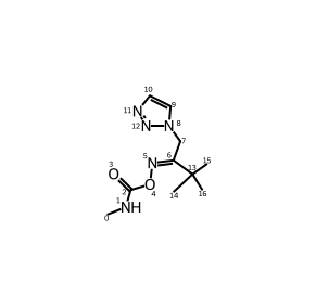 CNC(=O)ON=C(Cn1ccnn1)C(C)(C)C